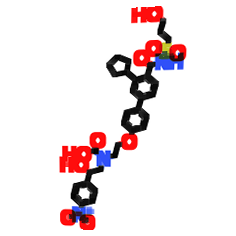 O=C(NS(=O)(=O)CCCO)c1ccc(-c2ccc(OCCN(C[C@H](O)c3ccc([N+](=O)[O-])cc3)C(=O)O)cc2)cc1C1CCCC1